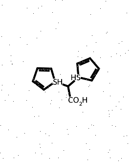 O=C(O)C([SH]1C=CC=C1)[SH]1C=CC=C1